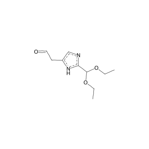 CCOC(OCC)c1ncc(CC=O)[nH]1